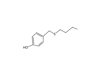 CCCCSCc1ccc(O)cc1